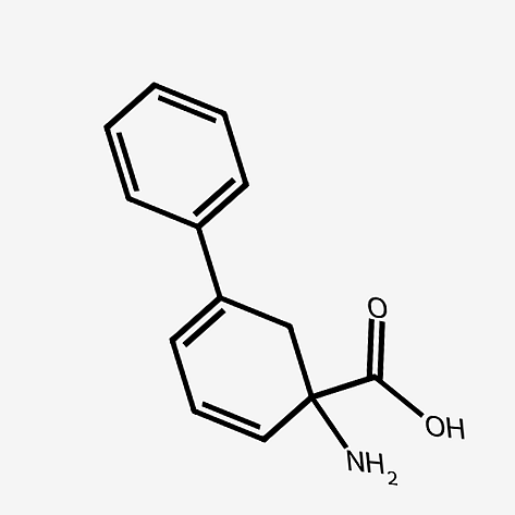 NC1(C(=O)O)C=CC=C(c2ccccc2)C1